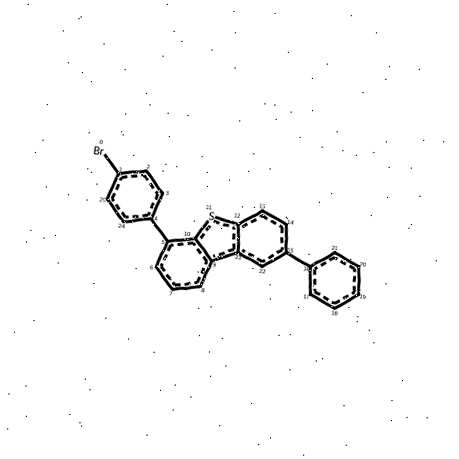 Brc1ccc(-c2cccc3c2sc2ccc(-c4ccccc4)cc23)cc1